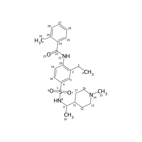 CCc1cc(S(=O)(=O)NC(C)C2CCN(C)CC2)ccc1NC(=O)c1ccccc1C